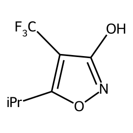 CC(C)c1onc(O)c1C(F)(F)F